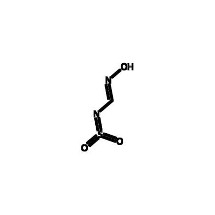 O=S(=O)=NC=NO